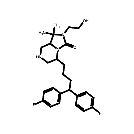 CC1(C)C2CNCC(CCCC(c3ccc(F)cc3)c3ccc(F)cc3)N2C(=O)N1CCO